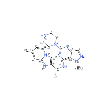 CCC(C)n1ncc2nc(N3CCNCC3)nc(N[C@H](C)c3cn4ccc(C)cc4n3)c21